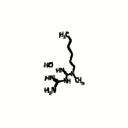 CCCCCCN(C)C(=N)NC(=N)N.Cl